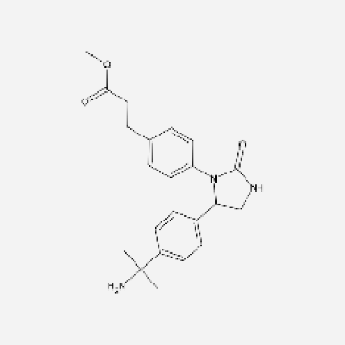 COC(=O)CCc1ccc(N2C(=O)NCC2c2ccc(C(C)(C)N)cc2)cc1